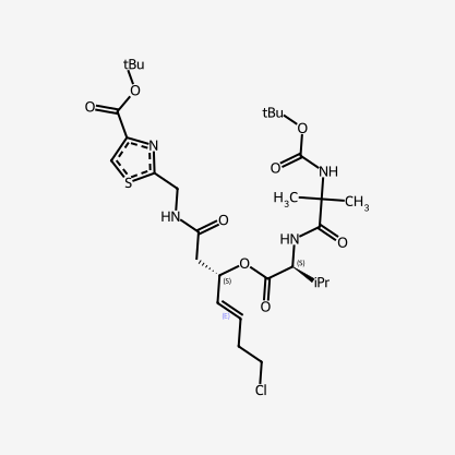 CC(C)[C@H](NC(=O)C(C)(C)NC(=O)OC(C)(C)C)C(=O)O[C@H](/C=C/CCCl)CC(=O)NCc1nc(C(=O)OC(C)(C)C)cs1